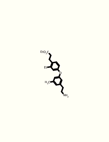 CCOC(=O)CCc1ccc(Oc2cc(C)cc(CCN)c2)cc1CC